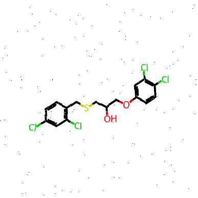 OC(COc1ccc(Cl)c(Cl)c1)CSCc1ccc(Cl)cc1Cl